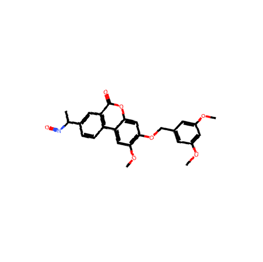 COc1cc(COc2cc3oc(=O)c4cc(C(C)N=O)ccc4c3cc2OC)cc(OC)c1